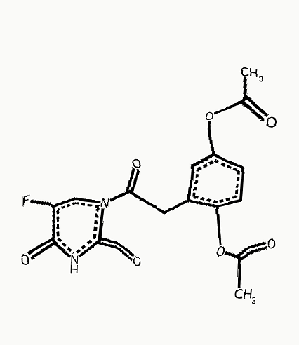 CC(=O)Oc1ccc(OC(C)=O)c(CC(=O)n2cc(F)c(=O)[nH]c2=O)c1